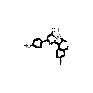 Cc1nn2c(O)cc(-c3ccc(O)cc3)nc2c1-c1ccc(F)cc1F